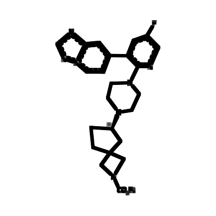 CCOC(=O)N1CC2(CC[C@@H](N3CCN(c4ncc(F)cc4-c4ccn5ncnc5c4)CC3)C2)C1